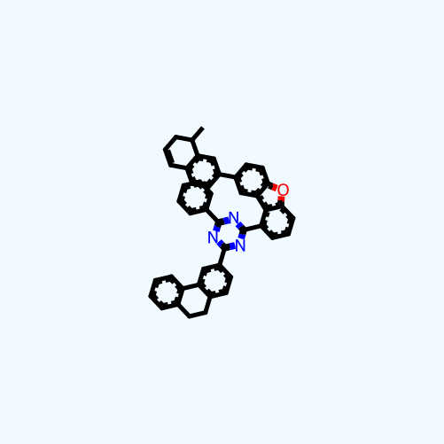 CC1CC=Cc2ccc(-c3ccc4oc5cccc(-c6nc(-c7ccccc7)nc(-c7ccc8c(c7)-c7ccccc7CC8)n6)c5c4c3)cc21